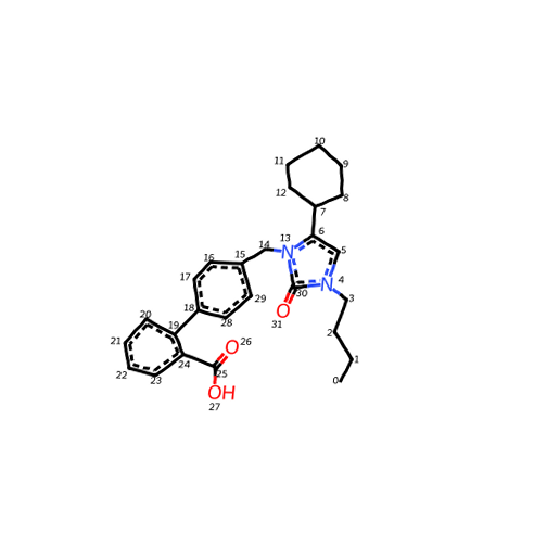 CCCCn1cc(C2CCCCC2)n(Cc2ccc(-c3ccccc3C(=O)O)cc2)c1=O